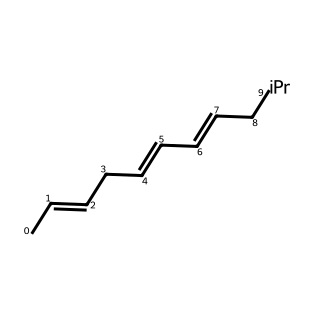 CC=CCC=CC=CCC(C)C